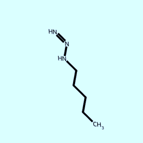 CCCCCNN=N